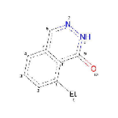 CCc1cccc2cn[nH]c(=O)c12